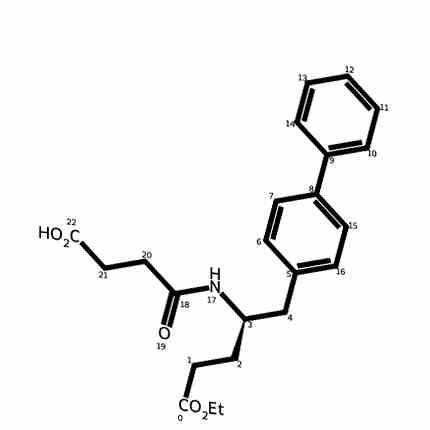 CCOC(=O)CC[C@H](Cc1ccc(-c2ccccc2)cc1)NC(=O)CCC(=O)O